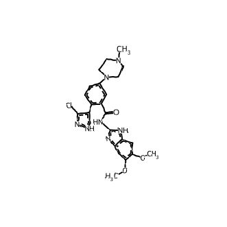 COc1cc2nc(NC(=O)c3cc(N4CCN(C)CC4)ccc3-c3c[nH]nc3Cl)[nH]c2cc1OC